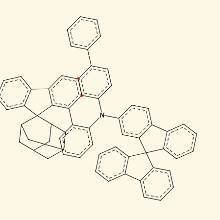 c1ccc(-c2ccc(N(c3ccc4c(c3)C3(c5ccccc5-c5ccccc53)c3ccccc3-4)c3ccccc3-c3cccc4c3C3(c5ccccc5-4)C4CC5CC(C4)CC3C5)cc2)cc1